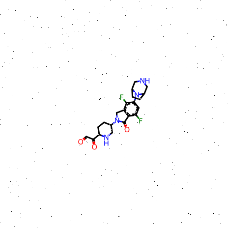 O=CC(=O)C1CCC(N2Cc3c(F)c(N4C5CCC4CNC5)cc(F)c3C2=O)CN1